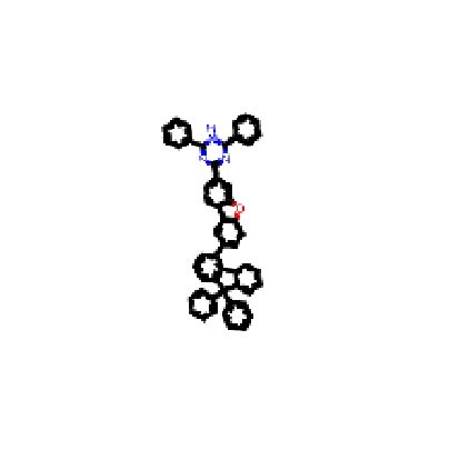 c1ccc(C2=NC(c3ccc4c(c3)oc3ccc(-c5cccc6c5-c5ccccc5C6(c5ccccc5)c5ccccc5)cc34)=NC(c3ccccc3)N2)cc1